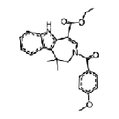 CCOC(=O)C1=CN(C(=O)c2ccc(OC)cc2)CC(C)(C)c2c1[nH]c1ccccc21